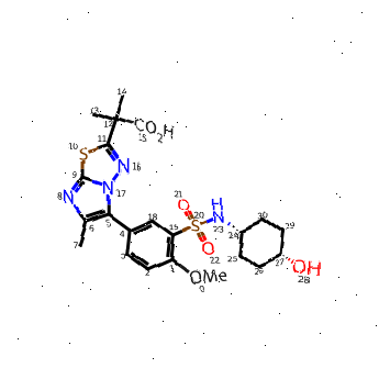 COc1ccc(-c2c(C)nc3sc(C(C)(C)C(=O)O)nn23)cc1S(=O)(=O)N[C@H]1CC[C@@H](O)CC1